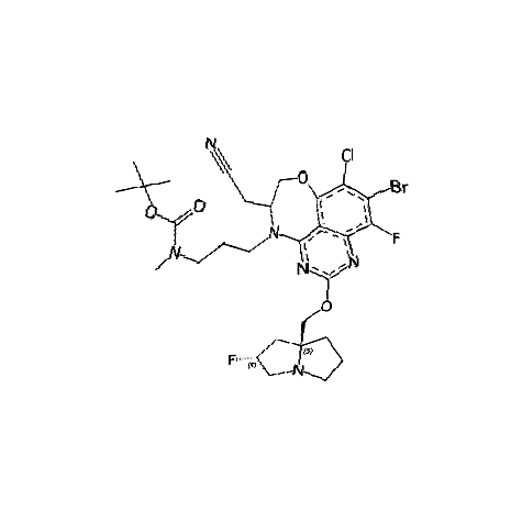 CN(CCCN1c2nc(OC[C@@]34CCCN3C[C@H](F)C4)nc3c(F)c(Br)c(Cl)c(c23)OCC1CC#N)C(=O)OC(C)(C)C